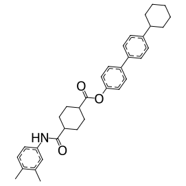 Cc1ccc(NC(=O)C2CCC(C(=O)Oc3ccc(-c4ccc(C5CCCCC5)cc4)cc3)CC2)cc1C